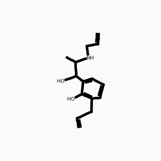 C=CCNC(C)C(O)c1cccc(CC=C)c1O